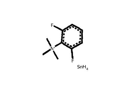 C[N+](C)(C)c1c(F)cccc1F.[SnH4]